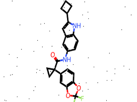 O=C(Nc1ccc2[nH]c(C3CCC3)cc2c1)C1(c2ccc3c(c2)OC(F)(F)O3)CC1